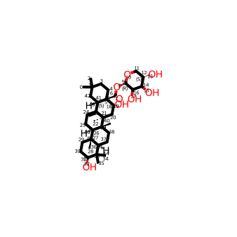 CC1(C)CC[C@]2(C(=O)O[C@H]3OC[C@H](O)C(O)C3O)C(O)C[C@]3(C)C(=CC[C@@H]4[C@@]5(C)CC[C@H](O)C(C)(C)[C@@H]5CC[C@]43C)[C@@H]2C1